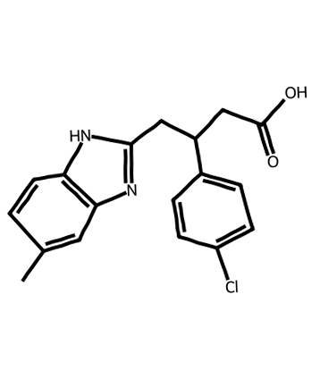 Cc1ccc2[nH]c(CC(CC(=O)O)c3ccc(Cl)cc3)nc2c1